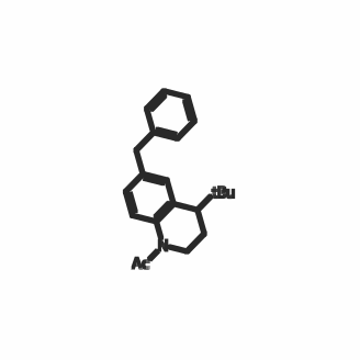 CC(=O)N1CCC(C(C)(C)C)c2cc(Cc3ccccc3)ccc21